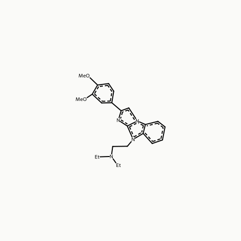 CCN(CC)CCn1c2ccccc2n2cc(-c3ccc(OC)c(OC)c3)nc12